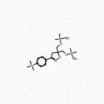 CC(C)(C)[Si](C)(C)OCC1(CO[Si](C)(C)C(C)(C)C)CC(c2cc[c]([Sn]([CH3])([CH3])[CH3])cc2)=NO1